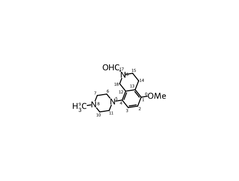 COc1ccc(N2CCN(C)CC2)c2c1CCN(C=O)C2